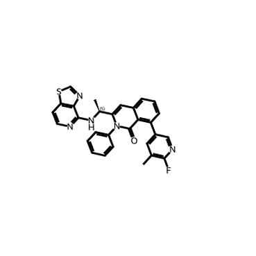 Cc1cc(-c2cccc3cc([C@H](C)Nc4nccc5scnc45)n(-c4ccccc4)c(=O)c23)cnc1F